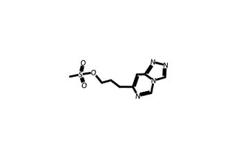 CS(=O)(=O)OCCCc1cc2nncn2cn1